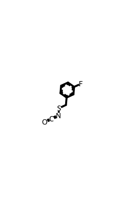 O=C=NSCc1cccc(F)c1